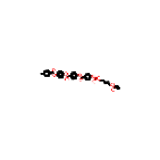 C=CC(=O)OCCCCCOC(=O)Oc1ccc(C(=O)Oc2ccc(C(=O)Oc3ccc(OC(=O)c4ccc(C)cc4)cc3)cc2)cc1